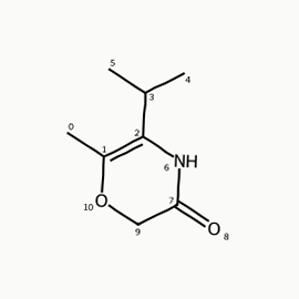 CC1=C(C(C)C)NC(=O)CO1